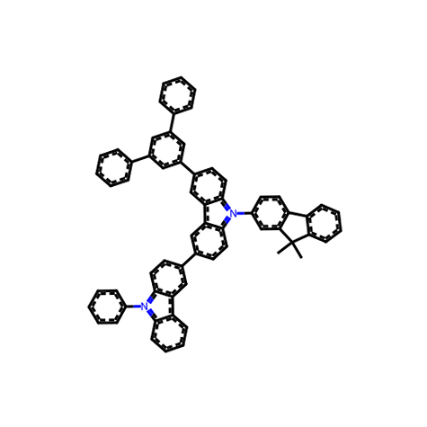 CC1(C)c2ccccc2-c2ccc(-n3c4ccc(-c5cc(-c6ccccc6)cc(-c6ccccc6)c5)cc4c4cc(-c5ccc6c(c5)c5ccccc5n6-c5ccccc5)ccc43)cc21